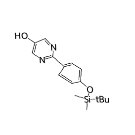 CC(C)(C)[Si](C)(C)Oc1ccc(-c2ncc(O)cn2)cc1